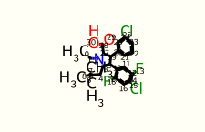 CCN1C(CC(C)(C)C)C(c2cc(F)c(Cl)cc2F)C(c2cccc(Cl)c2)C1C(=O)O